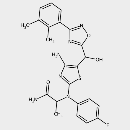 Cc1cccc(-c2noc(C(O)c3sc(N(c4ccc(F)cc4)C(C)C(N)=O)nc3N)n2)c1C